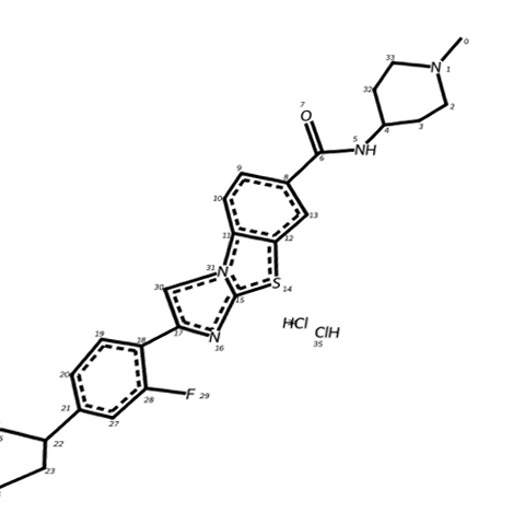 CN1CCC(NC(=O)c2ccc3c(c2)sc2nc(-c4ccc(C5CCCN5)cc4F)cn23)CC1.Cl.Cl